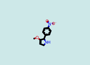 COC1=CCNC1c1ccc([N+](=O)[O-])cc1